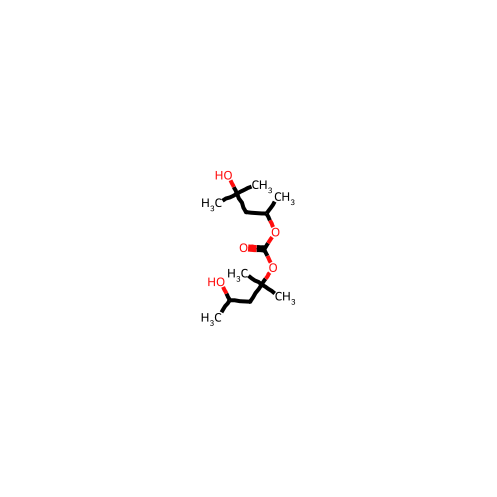 CC(O)CC(C)(C)OC(=O)OC(C)CC(C)(C)O